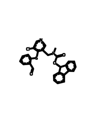 CN(Cc1cncc(Cl)c1Sc1ccccc1C=O)C(=O)OC1c2ccccc2-c2ccccc21